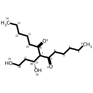 CCCCCC(=O)C(C(=O)CCCCC)[C@H](O)CCO